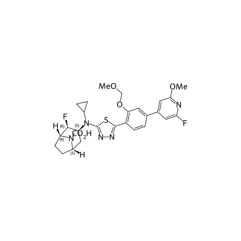 COCOc1cc(-c2cc(F)nc(OC)c2)ccc1-c1nnc(N(C2CC2)[C@H]2C[C@@H]3CC[C@H]([C@H]2F)N3C(=O)O)s1